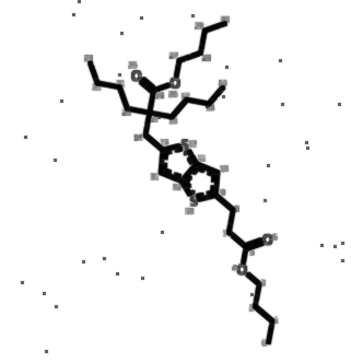 CCCCOC(=O)CCc1cc2sc(CC(CCCC)(CCCC)C(=O)OCCCC)cc2s1